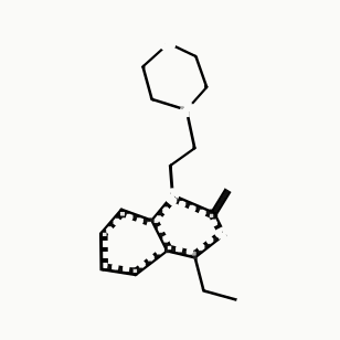 CCc1nc(=O)n(CCN2CCOCC2)c2ccccc12